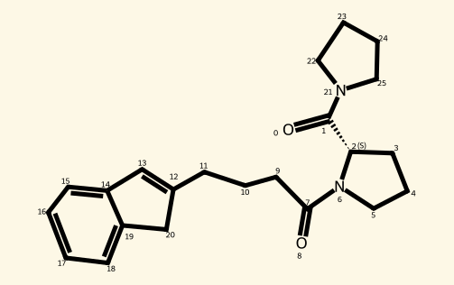 O=C([C@@H]1CCCN1C(=O)CCCC1=Cc2ccccc2C1)N1CCCC1